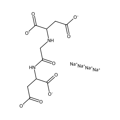 O=C([O-])CC(NCC(=O)NC(CC(=O)[O-])C(=O)[O-])C(=O)[O-].[Na+].[Na+].[Na+].[Na+]